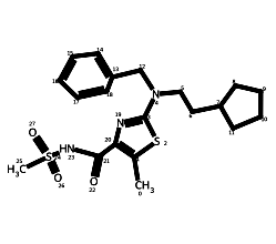 Cc1sc(N(CCC2CCCC2)Cc2ccccc2)nc1C(=O)NS(C)(=O)=O